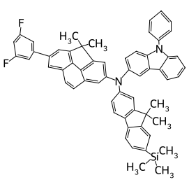 CC1(C)c2cc(N(c3cc4c5c(ccc6cc(-c7cc(F)cc(F)c7)cc(c65)C4(C)C)c3)c3ccc4c(c3)c3ccccc3n4-c3ccccc3)ccc2-c2ccc([Si](C)(C)C)cc21